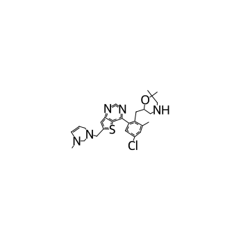 Cc1cc(Cl)cc(-c2ncnc3cc(CN4CC=CN(C)C4)sc23)c1CC1CNCC(C)(C)O1